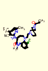 C=CC(=O)N1CC2(CCCN(CCN3CC[C@H](Nc4nc(C)cc(C(F)(F)F)c4C#N)C(=O)N(C)c4cccc(F)c43)C2)C1